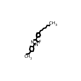 CCCCCCCc1ccc(-c2cnc(C3CCC(CCC)CC3)nc2F)cc1